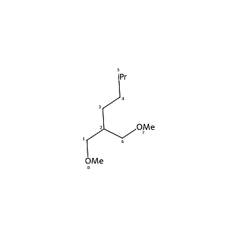 COCC(CCC(C)C)COC